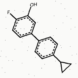 Oc1cc(-c2ccc(C3CC3)cc2)ccc1F